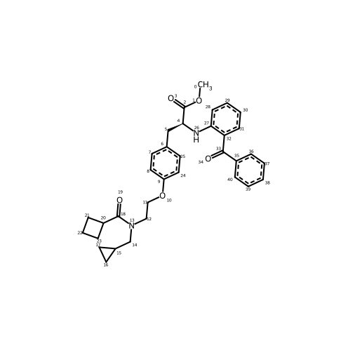 COC(=O)[C@H](Cc1ccc(OCCN(CC2CC2)C(=O)C2CCC2)cc1)Nc1ccccc1C(=O)c1ccccc1